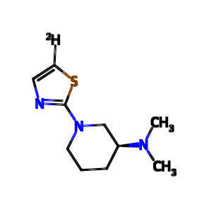 [2H]c1cnc(N2CCC[C@H](N(C)C)C2)s1